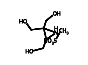 CS(=O)(=O)O.OCC1NC1(CO)CO